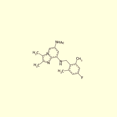 CC(=O)Nc1cc(NCc2c(C)cc(F)cc2C)c2nc(C)c(C)n2c1